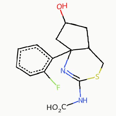 O=C(O)NC1=NC2(c3ccccc3F)CC(O)CC2CS1